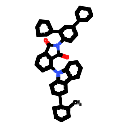 Cc1ccccc1-c1ccc2c(c1)c1ccccc1n2-c1cccc2c1C(=O)N(c1ccc(-c3ccccc3)cc1-c1ccccc1)C2=O